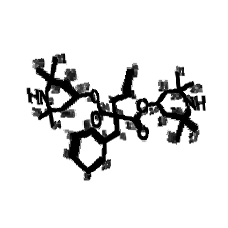 C=CCC(Cc1ccccc1)(C(=O)OC1CC(C)(C)NC(C)(C)C1)C(=O)OC1CC(C)(C)NC(C)(C)C1